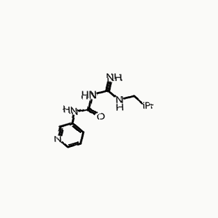 CC(C)CNC(=N)NC(=O)Nc1cccnc1